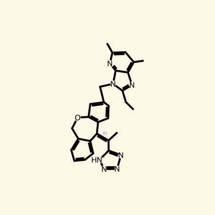 CCc1nc2c(C)cc(C)nc2n1Cc1ccc2c(c1)OCc1ccccc1/C2=C(/C)c1nnn[nH]1